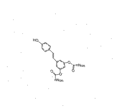 CCCCCCCCCC(=O)Oc1cc(C=Cc2ccc(O)cc2)cc(OC(=O)CCCCCCCCC)c1